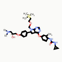 CCN(CC)C[C@@H](O)COc1ccc(-c2cc3c(Oc4ccc(NC(=O)NC5CC5)c(C)c4)ncnc3n2COCCS(C)(C)C)cc1